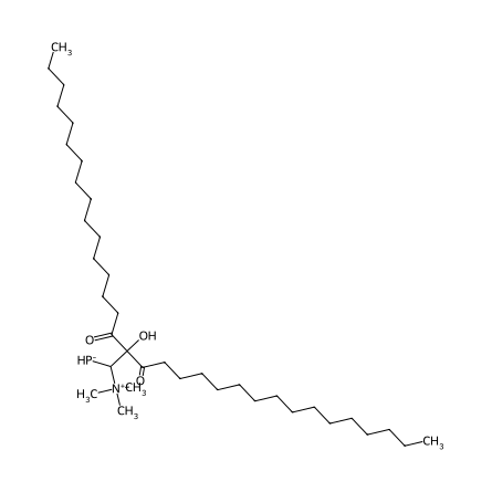 CCCCCCCCCCCCCCCC(=O)C(O)(C(=O)CCCCCCCCCCCCCCC)C([PH-])[N+](C)(C)C